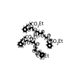 CCOC(=O)CN(Cc1ccccc1)C(=O)CCOC(=O)/C=C(\C)C(=O)OCCC(=O)N(CC(=O)OCC)Cc1ccccc1.CCOC(=O)CN(Cc1ccccc1)C(=O)COC(=O)/C=C(\C)C(=O)OCC(=O)N(CC(=O)OCC)Cc1ccccc1